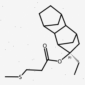 CC[C@@]1(OC(=O)CCSC)CC2CC1C1C3CCC(C3)C21